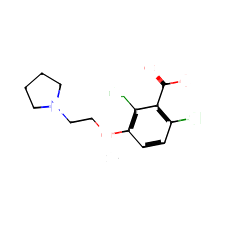 O=C([O-])c1c(Cl)ccc(OCCN2CCCC2)c1Cl.[Cs+]